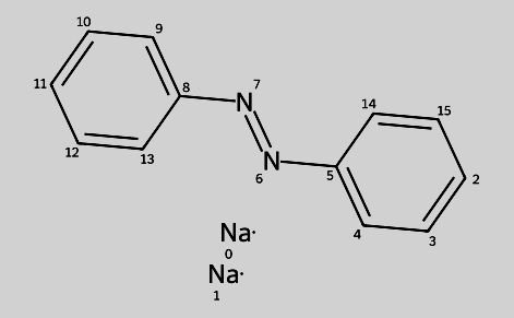 [Na].[Na].c1ccc(N=Nc2ccccc2)cc1